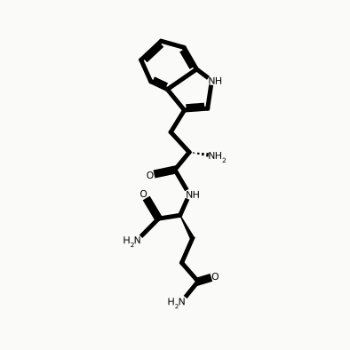 NC(=O)CC[C@H](NC(=O)[C@@H](N)Cc1c[nH]c2ccccc12)C(N)=O